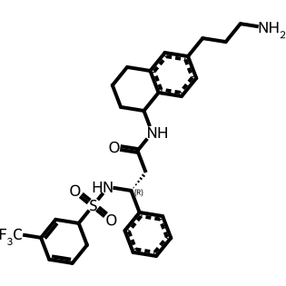 NCCCc1ccc2c(c1)CCCC2NC(=O)C[C@@H](NS(=O)(=O)C1C=C(C(F)(F)F)C=CC1)c1ccccc1